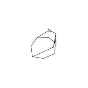 C1CC2CC3CC1CC(C3)[N]2